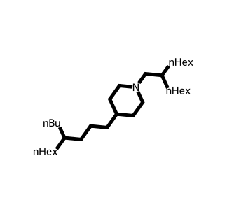 CCCCCCC(CCCC)CCCC1CCN(CC(CCCCCC)CCCCCC)CC1